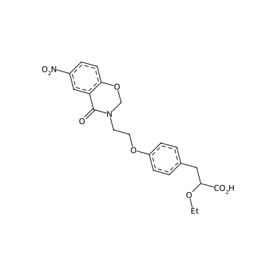 CCOC(Cc1ccc(OCCN2COc3ccc([N+](=O)[O-])cc3C2=O)cc1)C(=O)O